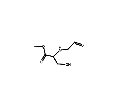 COC(=O)C(CO)NC[C]=O